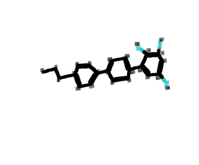 CCCc1ccc(-c2ccc(-c3cc(F)cc(F)c3F)cc2)cc1